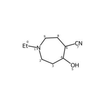 CCN1CCC(O)C(C#N)CC1